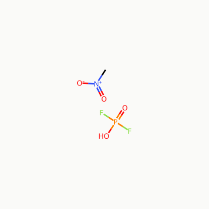 C[N+](=O)[O-].O=P(O)(F)F